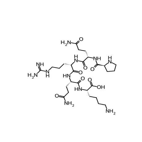 N=C(N)NCCC[C@H](NC(=O)[C@H](CCC(N)=O)NC(=O)[C@@H]1CCCN1)C(=O)N[C@@H](CCC(N)=O)C(=O)N[C@@H](CCCCN)C(=O)O